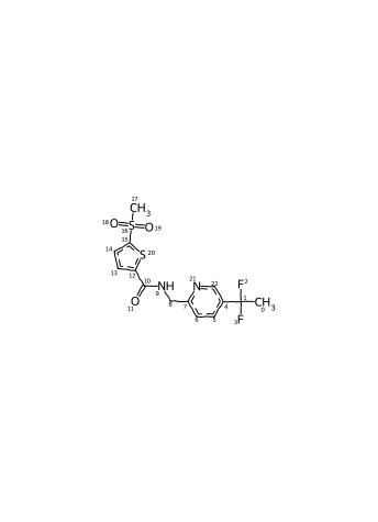 CC(F)(F)c1ccc(CNC(=O)c2ccc(S(C)(=O)=O)s2)nc1